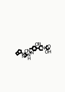 Cc1cc2cnc(Nc3cnn(C4CCC5CCC54)c3Cl)nc2cc1C1CCN([C@@H]2COCC2O)C[C@@H]1F